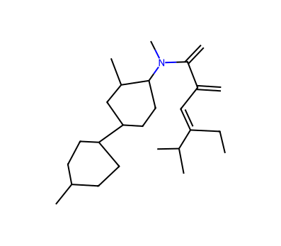 C=C(/C=C(\CC)C(C)C)C(=C)N(C)C1CCC(C2CCC(C)CC2)CC1C